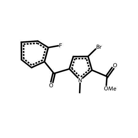 COC(=O)c1c(Br)cc(C(=O)c2ccccc2F)n1C